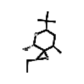 CC[C@@H]1OC12[C@H](C)C[C@H](C(C)(C)C)O[C@H]2O